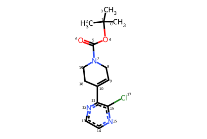 CC(C)(C)OC(=O)N1CC=C(c2nccnc2Cl)CC1